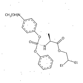 CCC(CC)COC(=O)[C@H](C)N[P@@](=O)(Oc1ccccc1)Oc1ccc(N(C)O)cc1